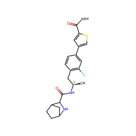 CNC(=O)c1cc(-c2ccc(C[C@@H](C#N)NC(=O)C3NC4CCC3C4)c(F)c2)cs1